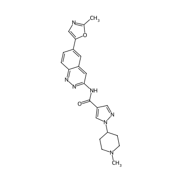 Cc1ncc(-c2ccc3nnc(NC(=O)c4cnn(C5CCN(C)CC5)c4)cc3c2)o1